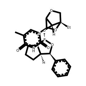 CC[C@@]12COC([C@H](n3cc(C)c(=O)[nH]c3=O)O1)[C@H]2O[P@]1O[C@@H](c2ccccc2)[C@H]2CCCN21